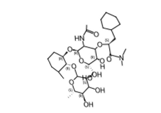 CC(=O)NC1C(O[C@@H](CC2CCCCC2)C(=O)N(C)C)[C@@H](O)[C@H](CO)O[C@H]1O[C@@H]1CCCC(C)[C@H]1OC1O[C@@H](C)[C@H](O)C(O)[C@@H]1O